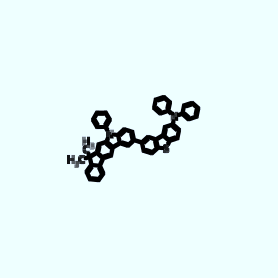 CC1(C)c2ccccc2-c2cc3c4cc(-c5ccc6sc7ccc(N(c8ccccc8)c8ccccc8)cc7c6c5)ccc4n(-c4ccccc4)c3cc21